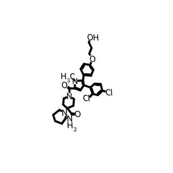 Cn1c(C(=O)N2CCC(C(N)=O)(N3CCCCC3)CC2)cc(-c2ccc(Cl)cc2Cl)c1-c1ccc(OCCCO)cc1